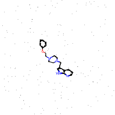 c1ccc(OCCN2CCN(Cc3c[nH]c4ncccc34)CC2)cc1